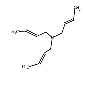 C/C=C/CN(C/C=C/C)C/C=C/C